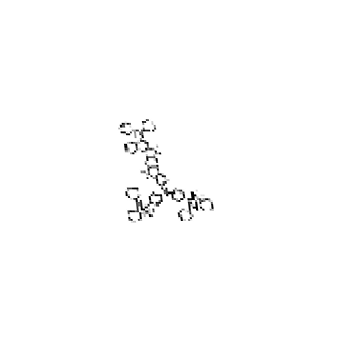 C[n+]1c(-c2ccc(N(c3ccc(-c4n(-c5ccccc5)c5ccccc5[n+]4C)cc3)c3ccc4c(c3)C(C)(C)c3cc5c(cc3-4)C(C)(C)c3cc(N(c4ccccc4)c4ccccc4)c4ccccc4c3-5)cc2)n(-c2ccccc2)c2ccccc21